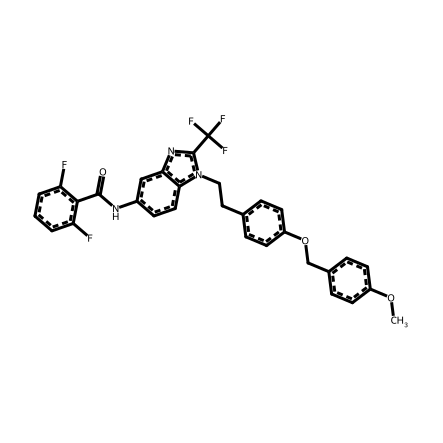 COc1ccc(COc2ccc(CCn3c(C(F)(F)F)nc4cc(NC(=O)c5c(F)cccc5F)ccc43)cc2)cc1